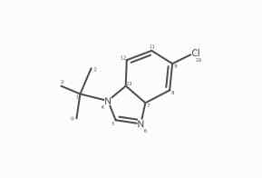 CC(C)(C)N1C=NC2C=C(Cl)C=CC21